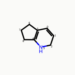 [C]1=CCNC2=C1CCC2